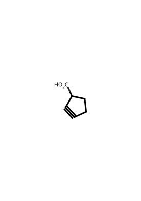 O=C(O)C1C#CCC1